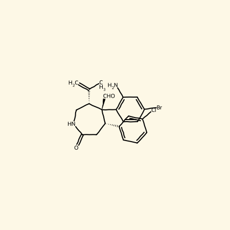 C=C(C)[C@H]1CNC(=O)C[C@@H](c2cccc(Cl)c2)[C@@]1(C=O)c1ccc(Br)cc1N